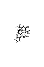 CC(C)(O)c1cc(Cl)c(S(N)(=O)=NC(=O)Nc2c3c(nc4c2CCC4)CCC3)s1